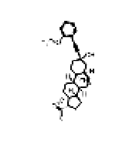 COc1ccccc1C#C[C@@]1(O)CC[C@@]2(C)[C@H](CC[C@@H]3[C@@H]2CC[C@]2(C)[C@@H](C(C)=O)CC[C@@H]32)C1